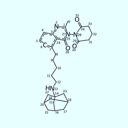 Cc1nc2cccc(CCCCCNC34CC5CC(CC(C5)C3)C4)c2c(=O)n1N1C(=O)CCCC1=O